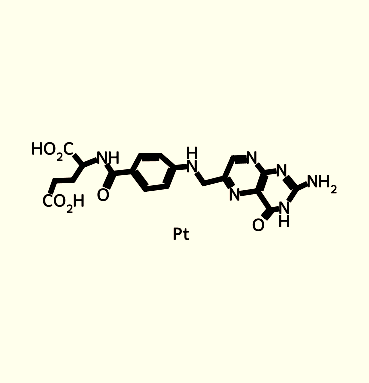 Nc1nc2ncc(CNc3ccc(C(=O)NC(CCC(=O)O)C(=O)O)cc3)nc2c(=O)[nH]1.[Pt]